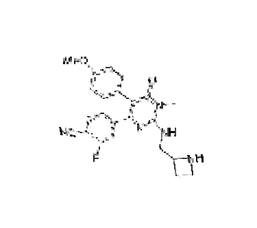 COc1ccc(-c2c(-c3ccc(C#N)c(F)c3)nc(NCC3CCN3)n(C)c2=O)cc1